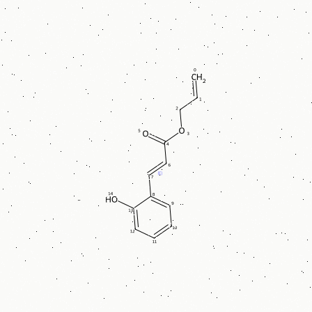 C=CCOC(=O)/C=C/c1ccccc1O